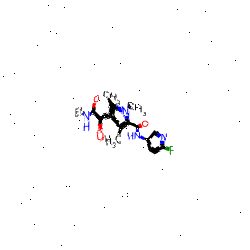 CCNC(=O)C(=O)c1c(C)c(C(=O)Nc2ccc(F)nc2)n(C)c1C